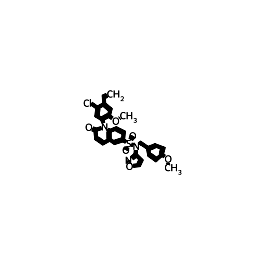 C=Cc1cc(OC)c(-n2c(=O)ccc3cc(S(=O)(=O)N(Cc4ccc(OC)cc4)c4ccon4)ccc32)cc1Cl